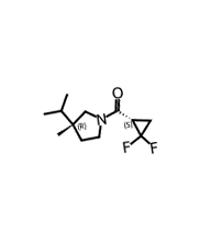 CC(C)[C@@]1(C)CCN(C(=O)[C@@H]2CC2(F)F)C1